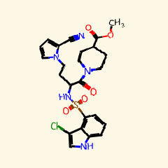 COC(=O)C1CCN(C(=O)C(CCn2cccc2C#N)NS(=O)(=O)c2cccc3[nH]cc(Cl)c23)CC1